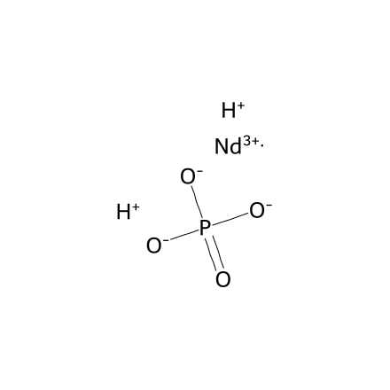 O=P([O-])([O-])[O-].[H+].[H+].[Nd+3]